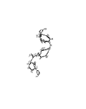 COc1ccc(CC2CCN(C(C)c3cccc(OC)n3)C2)nc1